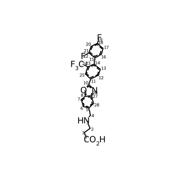 O=C(O)CCNCc1ccc2oc(-c3ccc(-c4ccc(F)cc4F)c(C(F)(F)F)c3)nc2c1